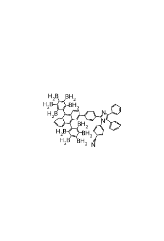 Bc1c(B)c(B)c(-c2c3ccccc3c(-c3c(B)c(B)c(B)c(B)c3B)c3cc(-c4ccc(-c5nc(-c6ccccc6)c(-c6ccccc6)n5-c5ccc(C#N)cc5)cc4)ccc23)c(B)c1B